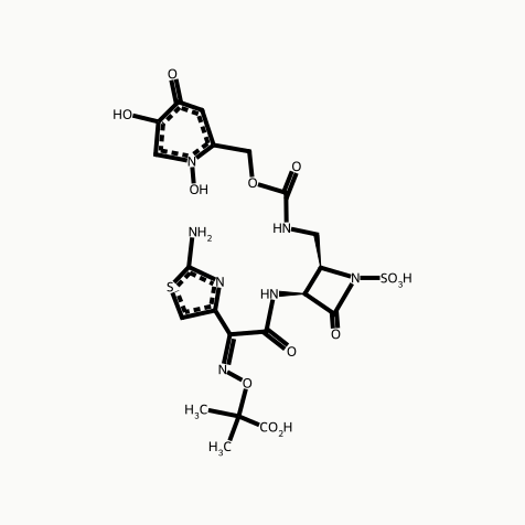 CC(C)(O/N=C(\C(=O)N[C@@H]1C(=O)N(S(=O)(=O)O)[C@@H]1CNC(=O)OCc1cc(=O)c(O)cn1O)c1csc(N)n1)C(=O)O